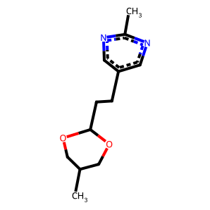 Cc1ncc(CCC2OCC(C)CO2)cn1